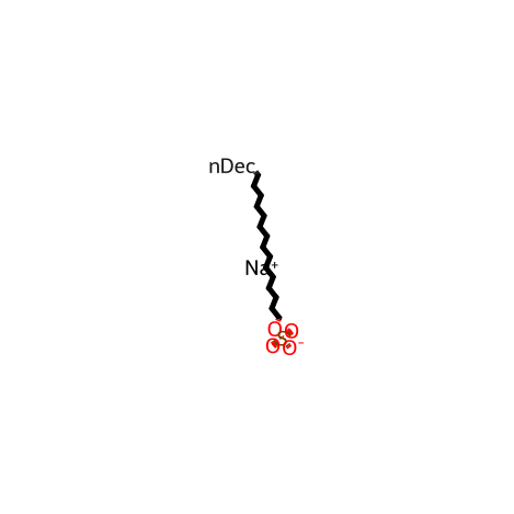 CCCCCCCCCCCCCCCCCCCCCCCCCOS(=O)(=O)[O-].[Na+]